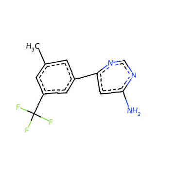 Cc1cc(-c2cc(N)ncn2)cc(C(F)(F)F)c1